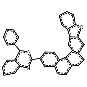 c1ccc(-c2nc(-c3ccc4c(ccc5ccc6cc7oc8ccccc8c7cc6c54)c3)nc3ccccc23)cc1